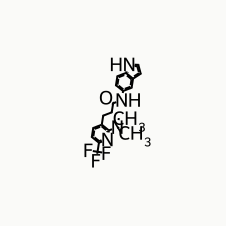 CN(C)c1nc(C(F)(F)F)ccc1CCC(=O)Nc1ccc2[nH]ccc2c1